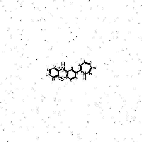 C1=CC=C(c2ccc3c(c2)Nc2ccccc2S3)NC=C1